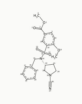 COC(=O)c1ccc(OC)c(S(=O)(=O)N(Cc2ccccc2)[C@@H]2CCN(C#N)C2)c1